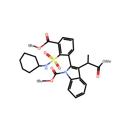 COC(=O)C(C)c1c(-c2cccc(C(=O)OC(C)(C)C)c2S(=O)(=O)NC2CCCCC2)n(C(=O)OC(C)(C)C)c2ccccc12